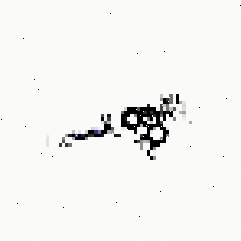 C/C=C/C=C/C(=O)Oc1ccc2c3c1O[C@H]1C(=O)CC[C@@H]([C@H](N(C)C)C2)[C@@]31CC